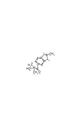 CN1Cc2ccc(C(=O)C(C)(C)O)cc2C1